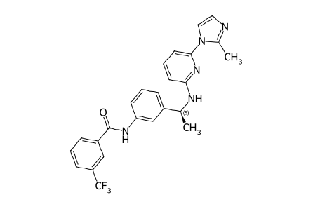 Cc1nccn1-c1cccc(N[C@@H](C)c2cccc(NC(=O)c3cccc(C(F)(F)F)c3)c2)n1